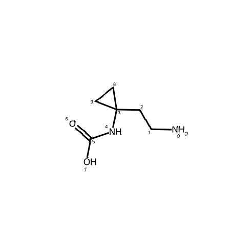 NCCC1(NC(=O)O)CC1